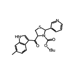 Cc1ccc2c(C(=O)C3CSC(c4cccnc4)N3C(=O)OC(C)(C)C)c[nH]c2c1